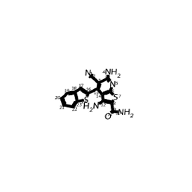 N#Cc1c(N)nc2sc(C(N)=O)c(N)c2c1-c1cc2ccccc2s1